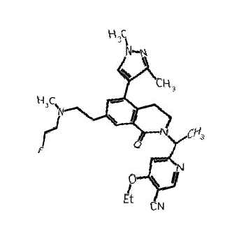 CCOc1cc(C(C)N2CCc3c(cc(CCN(C)CCF)cc3-c3cn(C)nc3C)C2=O)ncc1C#N